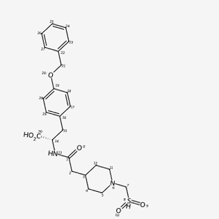 O=C(CC1CCN(C[SH](=O)=O)CC1)N[C@@H](Cc1ccc(OCc2ccccc2)cc1)C(=O)O